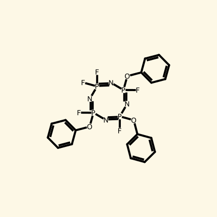 FP1(F)=NP(F)(Oc2ccccc2)=NP(F)(Oc2ccccc2)=NP(F)(Oc2ccccc2)=N1